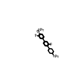 CCCOc1ccc(-c2ccc(C3CCC(CCC)CC3)c(F)c2)cc1F